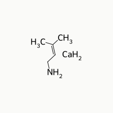 CC(C)=CCN.[CaH2]